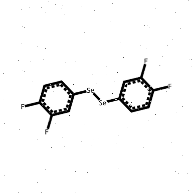 Fc1ccc([Se][Se]c2ccc(F)c(F)c2)cc1F